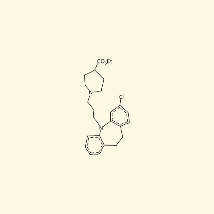 CCOC(=O)C1CCN(CCCN2c3ccccc3CCc3ccc(Cl)cc32)CC1